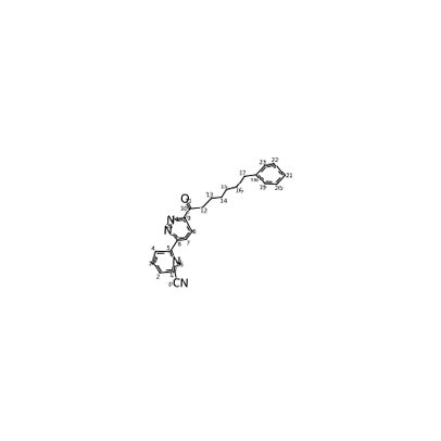 N#Cc1cccc(-c2ccc(C(=O)CCCCCCc3ccccc3)nn2)n1